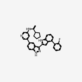 C=C(Nc1cncc(-c2ccc3[nH]nc(-c4cc5c(-c6ccccc6F)cccc5[nH]4)c3c2)c1)C1CCCC1